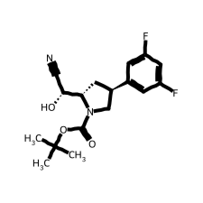 CC(C)(C)OC(=O)N1C[C@H](c2cc(F)cc(F)c2)C[C@H]1[C@H](O)C#N